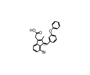 CC1=C(CC(=O)O)c2cccc(Br)c2/C1=C/c1cccc(Oc2ccccc2)c1